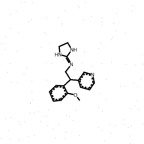 COc1ccccc1C(CN=C1NCCN1)c1cccnc1